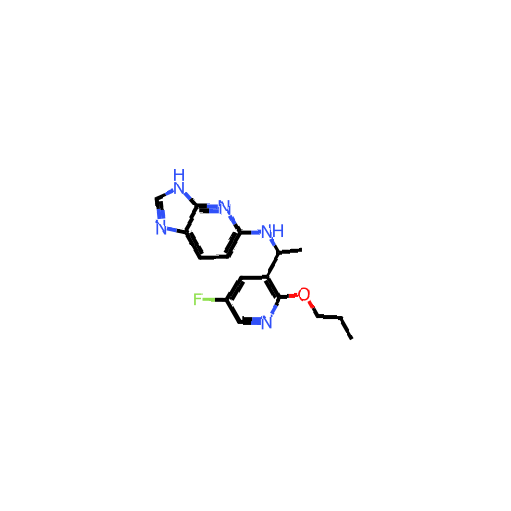 CCCOc1ncc(F)cc1C(C)Nc1ccc2nc[nH]c2n1